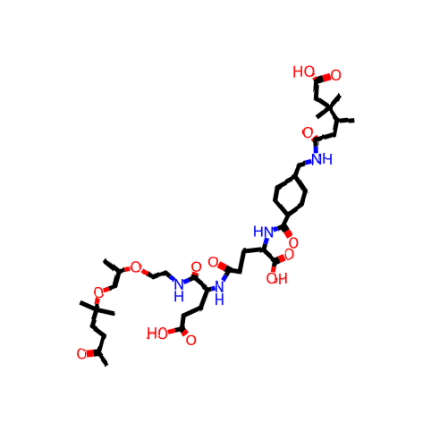 CC(=O)CCC(C)(C)OCC(C)OCCNC(=O)C(CCC(=O)O)NC(=O)CCC(NC(=O)C1CCC(CNC(=O)CC(C)C(C)(C)CC(=O)O)CC1)C(=O)O